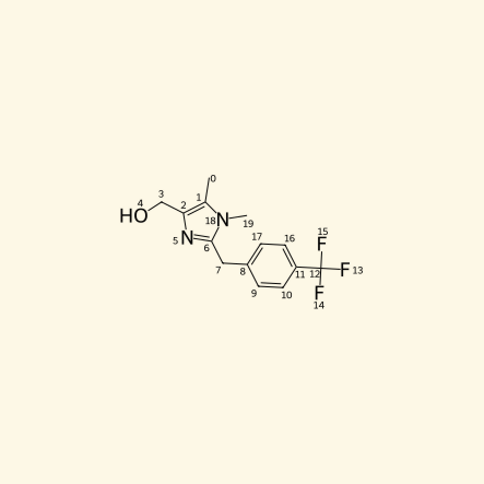 Cc1c(CO)nc(Cc2ccc(C(F)(F)F)cc2)n1C